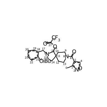 Cc1nocc1C(=O)N1CCC2(CC1)CCN(Cc1ccccc1OCC(C)C)C2OC(=O)C(F)(F)F